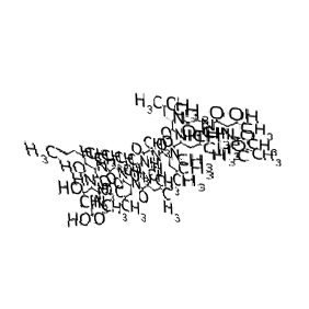 C/C=C/C[C@@H](C)[C@@H](O)[C@@H](C(=O)N[C@H](C(=O)N(C)CC(=O)O)[C@@H](C)O)N(C)C(=O)[C@H](C(C)C)N(C)C(=O)[C@H](CC(C)C)NC(=O)[C@H](CC(C)C)N(C)C(=O)[C@@H](C)NC(=O)[C@H](C)NC(=O)[C@H](CC(C)C)N(C)C(=O)[C@H](CC(C)C)NC(=O)[C@H](CC(C)C)N(C)C(=O)CN(C)C(=O)[C@@H](NC(=O)OC(C)(C)C)[C@@H](C)O